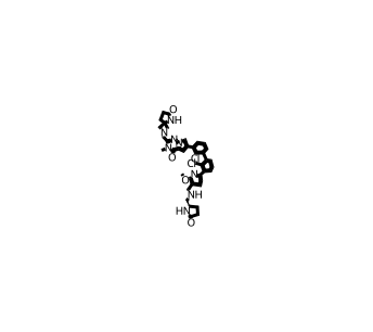 COc1nc(-c2cccc(-c3cccc(-c4cc5c(=O)n(C)c(CN6CC7(CCC(=O)N7)C6)nn5c4)c3Cl)c2Cl)ccc1CNC[C@H]1CCC(=O)N1